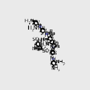 Nc1ccc(/N=N/c2ccc(/N=N/c3c(S(=O)(=O)[O-])cc4cc(S(=O)(=O)[O-])c(/N=N/c5ccc(/N=N/c6ccc(N)cc6N)cc5)c(O)c4c3N)cc2)c(N)c1.O=S(=O)(O)c1ccc2ccc(S(=O)(=O)O)cc2c1.[Na+].[Na+]